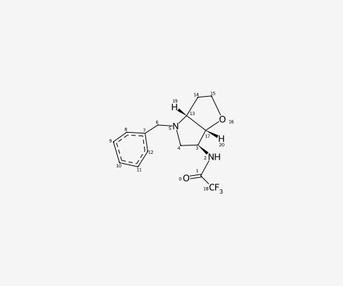 O=C(N[C@H]1CN(Cc2ccccc2)[C@@H]2CCO[C@H]12)C(F)(F)F